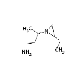 CCC1CN1C(C)CCN